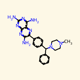 CN1CCN(C(c2ccccc2)c2ccc(-c3nc4c(N)nc(N)nc4nc3N)cc2)CC1